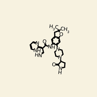 CC1(C)Cc2cc(NC(=O)/C(C=N)=C3\N=CC=CN3)c(N3CCN(C4CCNC4=O)CC3)cc2O1